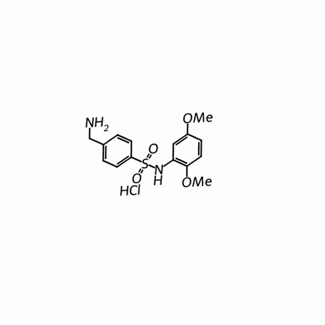 COc1ccc(OC)c(NS(=O)(=O)c2ccc(CN)cc2)c1.Cl